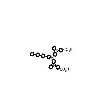 O=C(O)c1ccc(-n2c3ccccc3c3cc(N(c4ccc(-c5ccc(-c6ccc(-c7ccccc7)cc6)cc5)cc4)c4ccc5c(c4)c4ccccc4n5-c4ccc(C(=O)O)cc4)ccc32)cc1